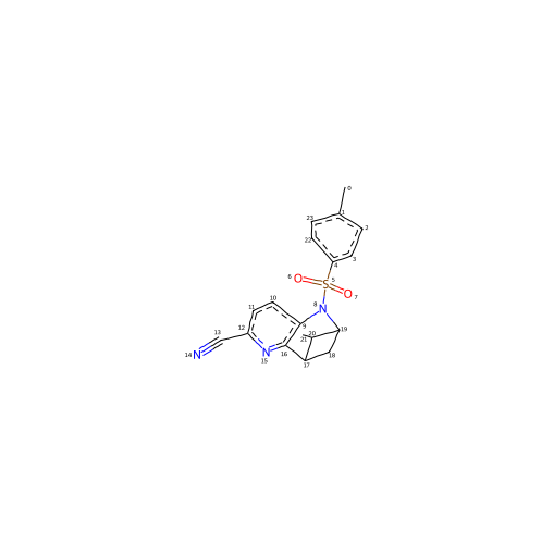 Cc1ccc(S(=O)(=O)N2c3ccc(C#N)nc3C3CC2C3C)cc1